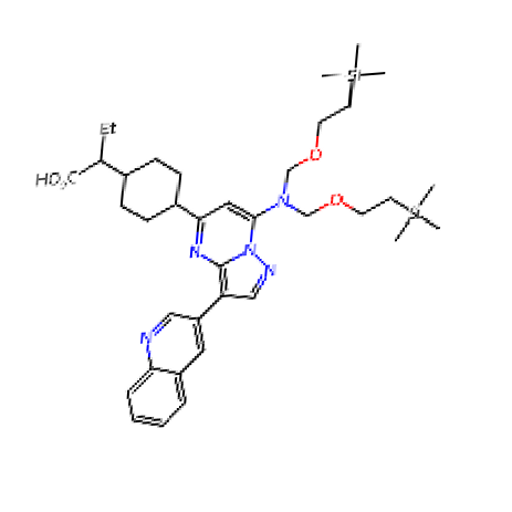 CCC(C(=O)O)C1CCC(c2cc(N(COCC[Si](C)(C)C)COCC[Si](C)(C)C)n3ncc(-c4cnc5ccccc5c4)c3n2)CC1